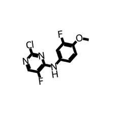 COc1ccc(Nc2nc(Cl)ncc2F)cc1F